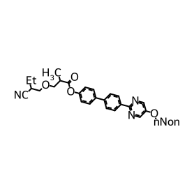 CCCCCCCCCOc1cnc(-c2ccc(-c3ccc(OC(=O)C(C)COCC(C#N)CC)cc3)cc2)nc1